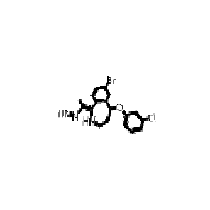 C/C(N=N)=C1/NCCC(Oc2cccc(Cl)c2)c2cc(Br)ccc21